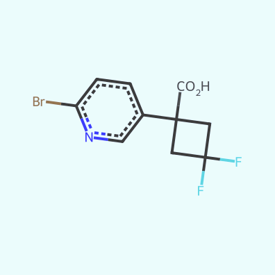 O=C(O)C1(c2ccc(Br)nc2)CC(F)(F)C1